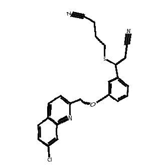 N#CCCCSC(CC#N)c1cccc(OCc2ccc3ccc(Cl)cc3n2)c1